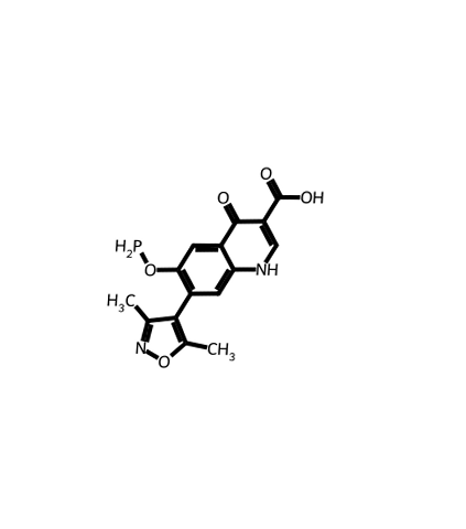 Cc1noc(C)c1-c1cc2[nH]cc(C(=O)O)c(=O)c2cc1OP